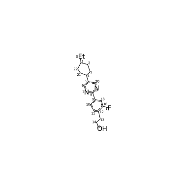 CCC1CCC(c2cnc(-c3ccc(CCO)c(F)c3)nc2)CC1